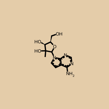 CC1(O)C(n2ccc3c(N)ncnc32)O[C@H](CO)[C@@H]1O